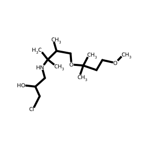 COCCC(C)(C)OCC(C)C(C)(C)NCC(O)CCl